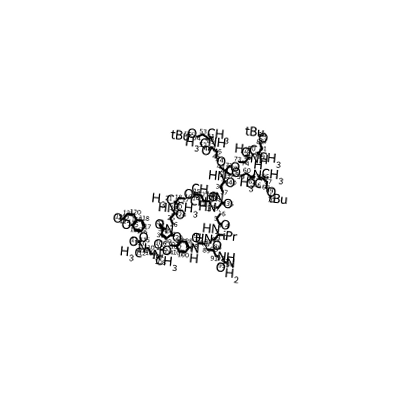 CC(C)C(NC(=O)CC[C@H](NC(=O)CCC(C)(C)OCCC(C)(C)NC(=O)CCN1C(=O)C=CC1=O)C(=O)NCCC(=O)NC(COCCC(=O)NC(C)(C)CCOC(C)(C)C)(COCCC(=O)NC(C)(C)CCOC(C)(C)C)COCCC(=O)NC(C)(C)CCOC(C)(C)C)C(=O)N[C@@H](CCCNC(N)=O)C(=O)Nc1ccc(COC(=O)N(C)CCN(C)C(=O)Oc2ccc3ccc(=O)oc3c2)cc1